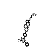 CC(C)CCCCC1CCC2C3CCC4CC(c5ccc(-c6nc(Cl)nc(-c7ccccc7)n6)cc5)CCC4(C)C3CCC12C